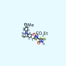 CCOC(=O)Cn1c(=O)/c(=C\c2ccc3c(c2)C2CCCC2N3c2ccc(OC)cc2)s/c1=C1/SC(=S)N(C)C1=O